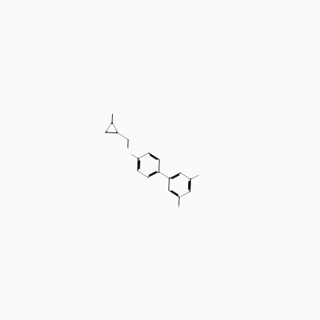 Cc1cc(Cl)cc(-c2ccc(OCC3CC3C(=O)O)cc2)c1